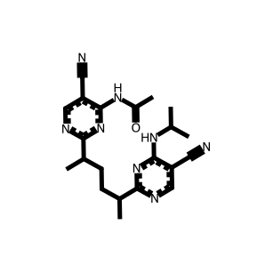 CC(=O)Nc1nc(C(C)CCC(C)c2ncc(C#N)c(NC(C)C)n2)ncc1C#N